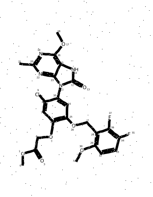 COC(=O)COc1cc(Cl)c(-n2c(=O)[nH]c3c(OC)nc(C)nc32)cc1OCc1c(OC)ccc(F)c1F